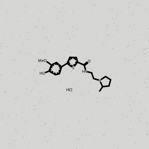 COc1cc(-c2ccc(C(=O)NCCN3CCCC3C)s2)ccc1O.Cl